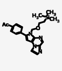 CC(=O)c1ccc(-c2cc3c(ncc4nccn43)n2COCC[Si](C)(C)C)cc1